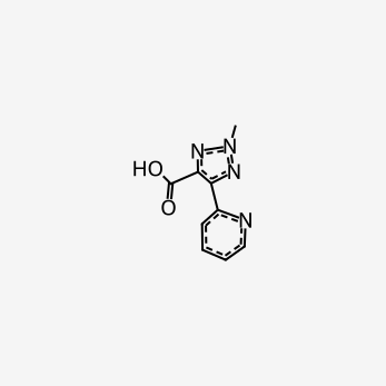 Cn1nc(C(=O)O)c(-c2ccccn2)n1